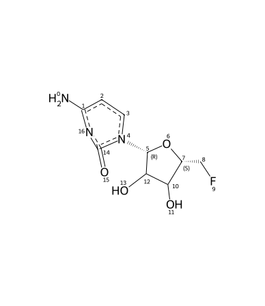 Nc1ccn([C@@H]2O[C@H](CF)C(O)C2O)c(=O)n1